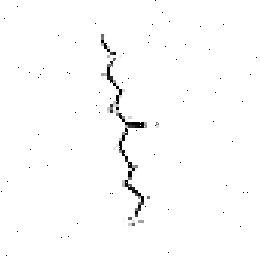 COCCOC(=O)CCCCS